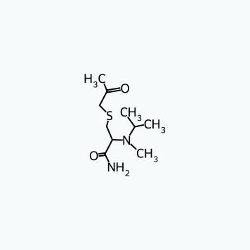 CC(=O)CSCC(C(N)=O)N(C)C(C)C